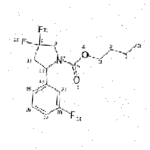 CCCCOC(=O)N1CC(F)(F)CC1c1cccc(F)c1